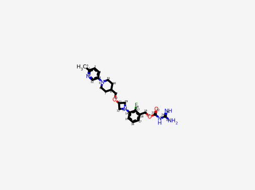 Cc1ccc(N2CCC(COC3CN(c4cccc(COC(=O)NC(=N)N)c4F)C3)CC2)cn1